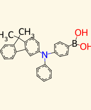 CC1(C)c2ccccc2-c2cc(N(c3ccccc3)c3ccc(B(O)O)cc3)ccc21